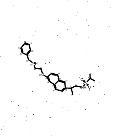 CC(CNS(=O)(=O)C(C)C)c1ccc2cc(OCCNCc3ccccc3)ccc2c1